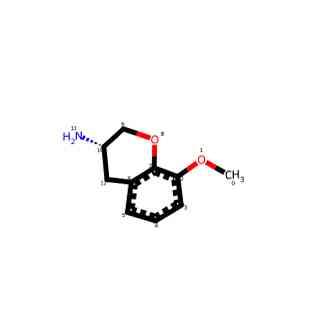 COc1cccc2c1OC[C@@H](N)C2